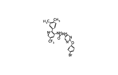 Cc1ccc(-c2ncc(C(F)(F)F)cc2NC(=O)Nc2cnc(Oc3ccc(Br)cc3)nc2)cc1C